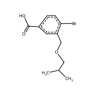 CC(C)COCc1cc(C(=O)O)ccc1Br